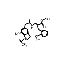 CCOc1ccccc1OC(CNC(C)Cc1cc(C#N)c2c(c1)CCN2C(=O)C(F)(F)F)C(=O)OC(C)(C)C